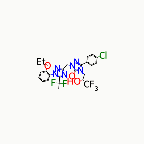 CCOc1ccccc1-n1nc(Cn2nc(-c3ccc(Cl)cc3)n(CC(O)C(F)(F)F)c2=O)nc1C(C)(F)F